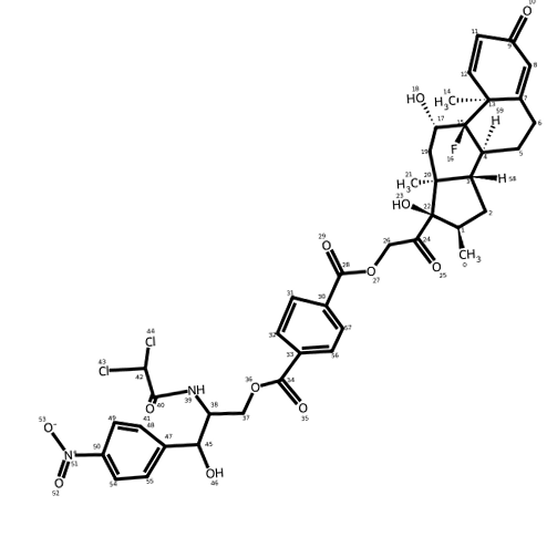 C[C@@H]1C[C@H]2[C@@H]3CCC4=CC(=O)C=C[C@]4(C)[C@@]3(F)[C@@H](O)C[C@]2(C)[C@@]1(O)C(=O)COC(=O)c1ccc(C(=O)OCC(NC(=O)C(Cl)Cl)C(O)c2ccc([N+](=O)[O-])cc2)cc1